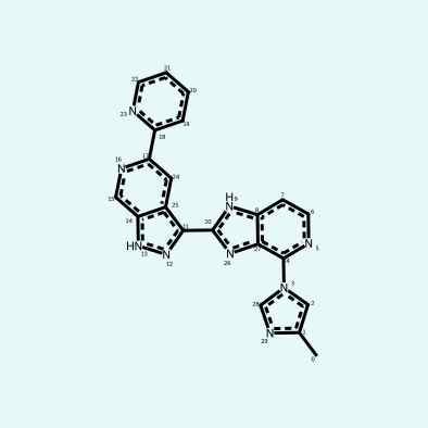 Cc1cn(-c2nccc3[nH]c(-c4n[nH]c5cnc(-c6ccccn6)cc45)nc23)cn1